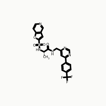 C[C@H](NS(=O)(=O)c1cc2cnccc2o1)C(=O)NCc1cc(-c2ccc(C(F)(F)F)cc2)ncn1